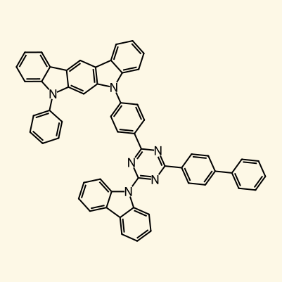 c1ccc(-c2ccc(-c3nc(-c4ccc(-n5c6ccccc6c6cc7c8ccccc8n(-c8ccccc8)c7cc65)cc4)nc(-n4c5ccccc5c5ccccc54)n3)cc2)cc1